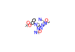 C=CC(=O)N1CCN(c2nc(OC(C)CN(C)C)nc3c2CCN(c2cc(OC(=O)C(C)(C)C)cc4ccccc24)C3)CC1CC#N